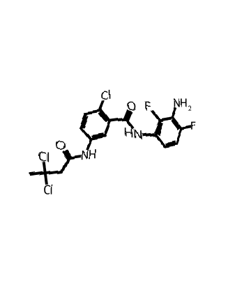 CC(Cl)(Cl)CC(=O)Nc1ccc(Cl)c(C(=O)Nc2ccc(F)c(N)c2F)c1